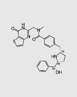 CN(Cc1nc2ccsc2c(=O)[nH]1)C(=O)c1ccc(C[C@@H]2CC[C@H]([C@H](O)c3ccccc3)N2)cc1